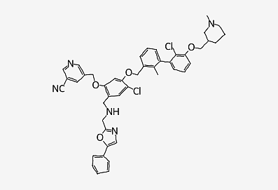 Cc1c(COc2cc(OCc3cncc(C#N)c3)c(CNCc3ncc(-c4ccccc4)o3)cc2Cl)cccc1-c1cccc(OCC2CCCN(C)C2)c1Cl